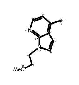 COCCn1ccc2c(C(C)C)ccnc21